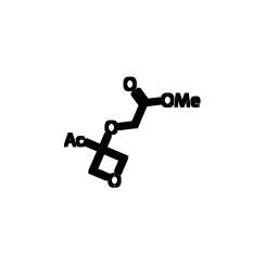 COC(=O)COC1(C(C)=O)COC1